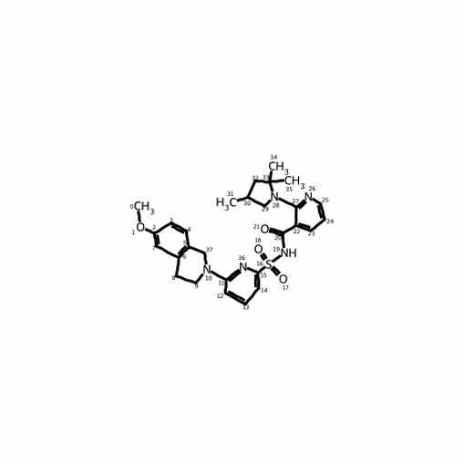 COc1ccc2c(c1)CCN(c1cccc(S(=O)(=O)NC(=O)c3cccnc3N3CC(C)CC3(C)C)n1)C2